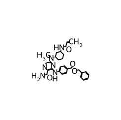 C=CC(=O)NC1CCC[C@@H](N(C)c2cnc(C(N)=O)c(Nc3ccc(C(=O)OCc4ccccc4)cc3)n2)C1